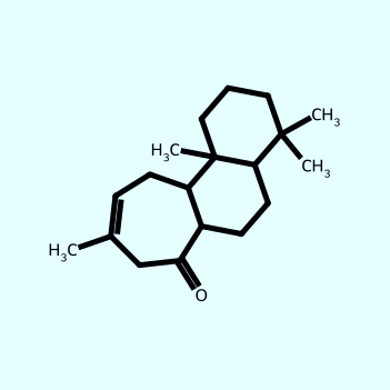 CC1=CCC2C(CCC3C(C)(C)CCCC23C)C(=O)C1